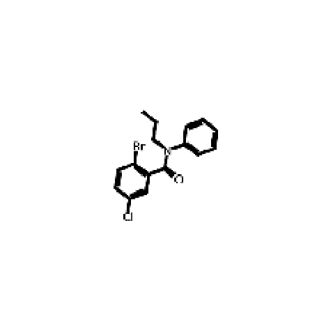 CCCN(C(=O)c1cc(Cl)ccc1Br)c1ccccc1